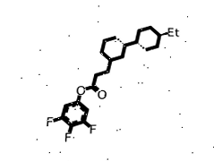 CC[C@H]1CC[C@H]([C@H]2CCCC(CCC(=O)Oc3cc(F)c(F)c(F)c3)C2)CC1